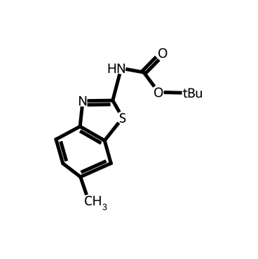 Cc1ccc2nc(NC(=O)OC(C)(C)C)sc2c1